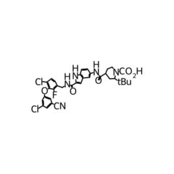 CC(C)(C)C1CC(C(=O)Nc2ccc3[nH]c(C(=O)NCc4ccc(Cl)c(Oc5cc(Cl)cc(C#N)c5)c4F)cc3c2)CCN1C(=O)O